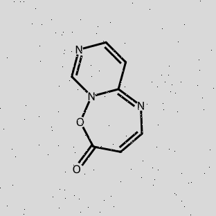 O=C1C=CN=C2C=CN=CN2O1